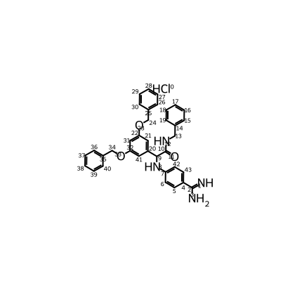 Cl.N=C(N)c1ccc(NC(C(=O)NCc2ccccc2)c2cc(OCc3ccccc3)cc(OCc3ccccc3)c2)cc1